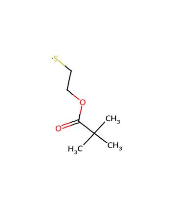 CC(C)(C)C(=O)OCC[S]